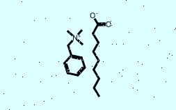 CCCCCCCCC(=O)[O-].C[N+](C)(C)Cc1ccccc1